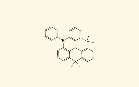 CC1(C)c2cccc3c2C2c4c(cccc4C(C)(C)c4cccc1c42)B3c1ccccc1